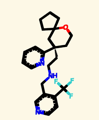 FC(F)(F)c1ccncc1CNCC[C@@]1(c2ccccn2)CCOC2(CCCC2)C1